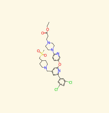 CCOC(=O)CCN1CCN(c2ccc(Oc3cc(CN4CCC(CS(C)(=O)=O)CC4)cc(-c4cc(Cl)cc(Cl)c4)n3)cn2)CC1